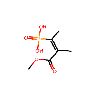 COC(=O)C(C)=C(C)P(=O)(O)O